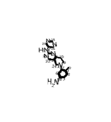 Cc1ccc(N)cc1N1CCc2nc(Nc3cncnc3)ncc2C1